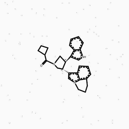 O=C(C1CCC1)N1C[C@@H](c2c[nH]c3ccccc23)[C@H](c2cn3c4c(cccc24)CCC3)C1